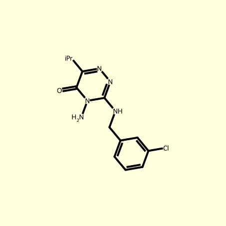 CC(C)c1nnc(NCc2cccc(Cl)c2)n(N)c1=O